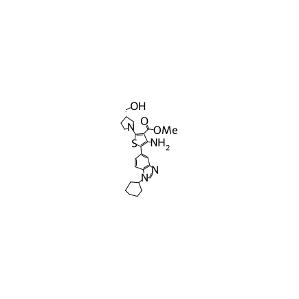 COC(=O)c1c(N2CC[C@H](CO)C2)sc(-c2ccc3c(c2)ncn3C2CCCCC2)c1N